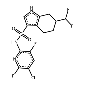 O=S(=O)(Nc1nc(F)c(Cl)cc1F)c1c[nH]c2c1CCC(C(F)F)C2